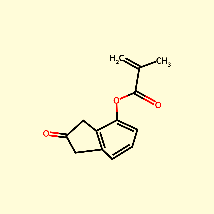 C=C(C)C(=O)Oc1cccc2c1CC(=O)C2